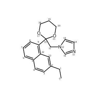 CCc1ccc2cccc(C3(Cn4ccnc4)OCCCO3)c2c1